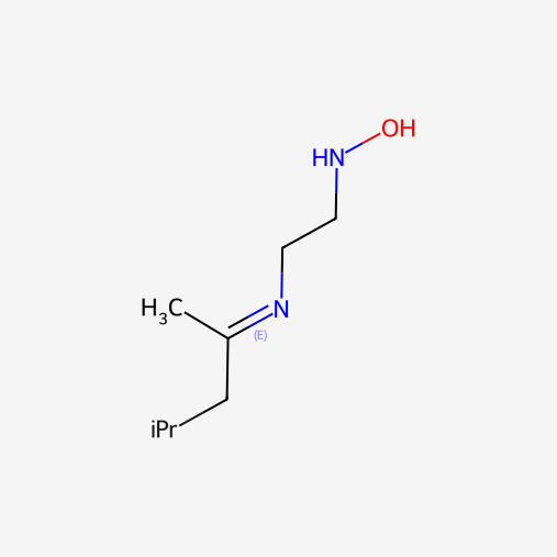 C/C(CC(C)C)=N\CCNO